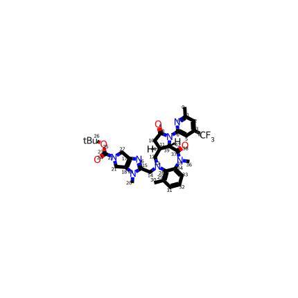 Cc1cc(C(F)(F)F)cc(N2C(=O)C[C@@H]3CN(Cc4nc5c(n4C)CN(C(=O)OC(C)(C)C)C5)c4c(C)cccc4N(C)C(=O)[C@H]32)n1